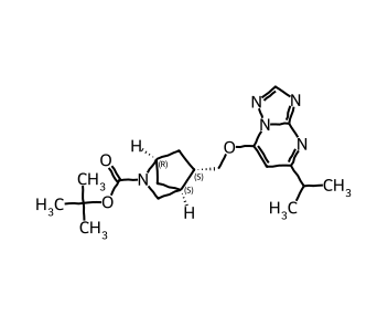 CC(C)c1cc(OC[C@H]2C[C@H]3C[C@@H]2CN3C(=O)OC(C)(C)C)n2ncnc2n1